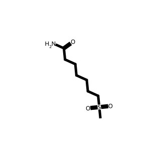 CS(=O)(=O)CCCCCCC(N)=O